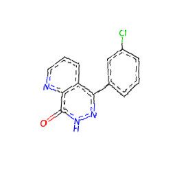 O=c1[nH]nc(-c2cccc(Cl)c2)c2cccnc12